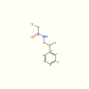 CC(CNC(=O)CF)c1ccccc1